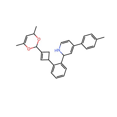 CC1=CC(C)OC(C2=CC(c3ccccc3C3C=C(c4ccc(C)cc4)C=CN3)C2)O1